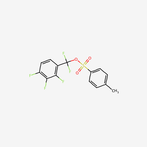 Cc1ccc(S(=O)(=O)OC(F)(F)c2ccc(F)c(F)c2F)cc1